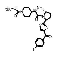 CC(C)(C)OC(=O)N1CCC([C@H](N)C(=O)N2CCCC2c2nc(C(=O)c3ccc(F)cc3)cs2)CC1